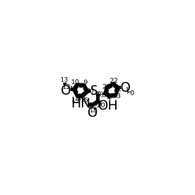 COc1ccc([C@H]2Sc3ccc(OC)cc3NC(=O)[C@H]2O)cc1